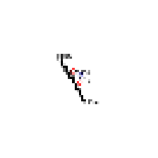 CCCCCCCCCCCCCCCC(=O)CCCC(=O)CCCCCCCCCCCCCCC.CN(C)C